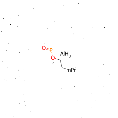 CCCCCOP=O.[AlH3]